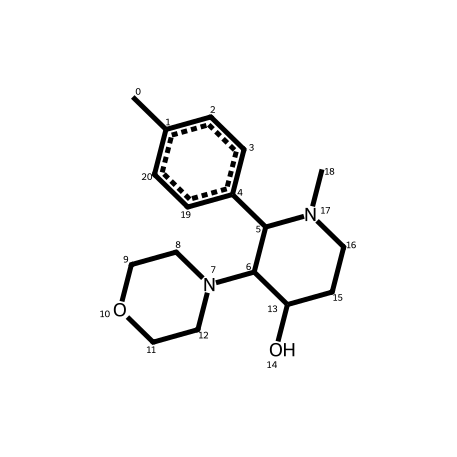 Cc1ccc(C2C(N3CCOCC3)C(O)CCN2C)cc1